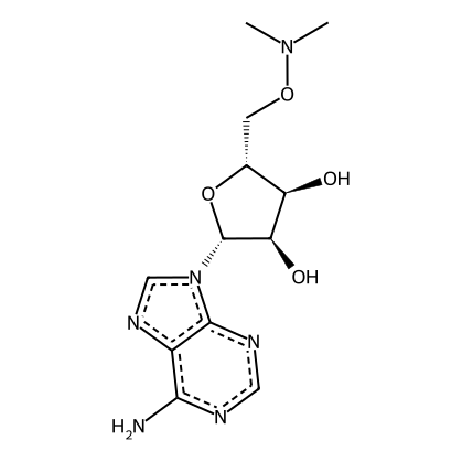 CN(C)OC[C@H]1O[C@@H](n2cnc3c(N)ncnc32)[C@H](O)[C@@H]1O